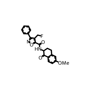 COc1ccc2c(c1)CCC(NC(=O)c1onc(-c3ccccc3)c1CF)C2=O